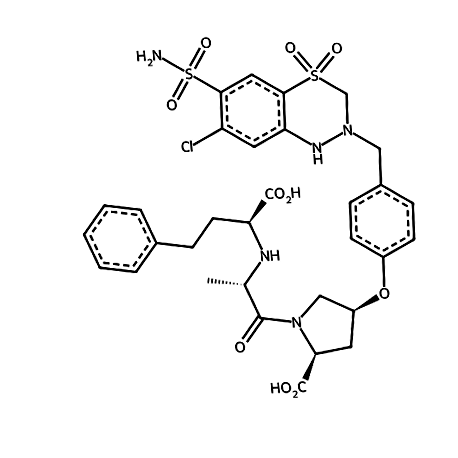 C[C@H](N[C@@H](CCc1ccccc1)C(=O)O)C(=O)N1C[C@@H](Oc2ccc(CN3CS(=O)(=O)c4cc(S(N)(=O)=O)c(Cl)cc4N3)cc2)C[C@H]1C(=O)O